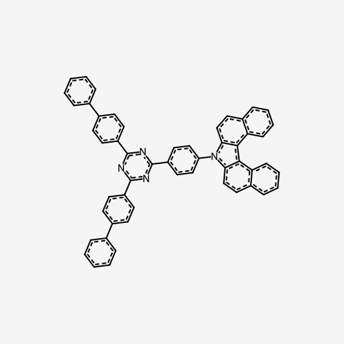 c1ccc(-c2ccc(-c3nc(-c4ccc(-c5ccccc5)cc4)nc(-c4ccc(-n5c6ccc7ccccc7c6c6c7ccccc7ccc65)cc4)n3)cc2)cc1